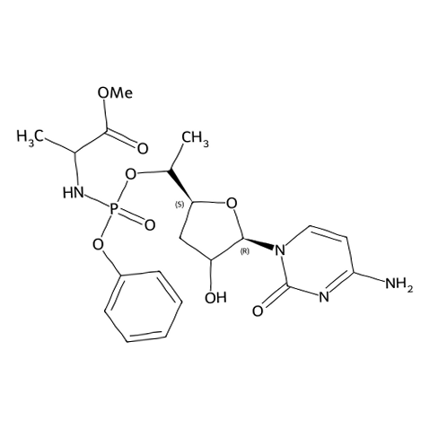 COC(=O)C(C)NP(=O)(Oc1ccccc1)OC(C)[C@@H]1CC(O)[C@H](n2ccc(N)nc2=O)O1